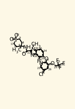 Cn1c(C(=O)NC2(C)CCS(=O)(=O)CC2)nc2c(F)c(Oc3ncc(Cl)cc3OCC(F)(F)F)ccc21